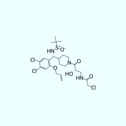 C=CCOc1cc(Cl)c(Cl)cc1[C@H](N[S+]([O-])C(C)(C)C)C1CCN(C(=O)[C@@H](O)CNC(=O)CCl)CC1